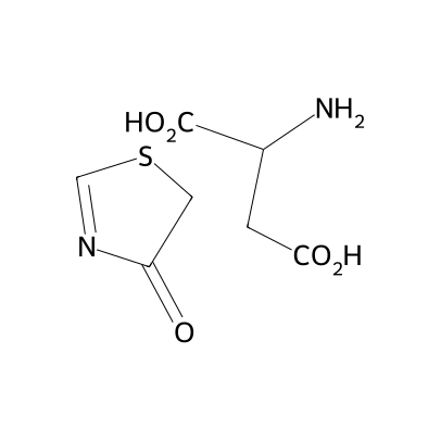 NC(CC(=O)O)C(=O)O.O=C1CSC=N1